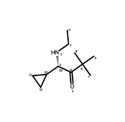 CCN[C@H](C(=O)C(C)(C)C)C1CC1